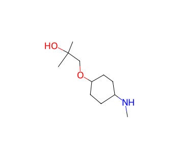 CNC1CCC(OCC(C)(C)O)CC1